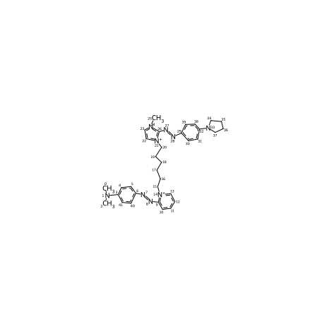 CN(C)c1ccc(N=Nc2cccc[n+]2CCCCCC[n+]2ccn(C)c2N=Nc2ccc(N3CCCC3)cc2)cc1